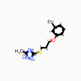 CCc1cccc(OCCCSc2n[nH]c(C)n2)c1